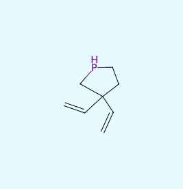 C=CC1(C=C)CCPC1